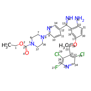 CCOC(=O)N1CCN(c2ccc(C(=N)c3cc(O[C@@H](C)c4c(Cl)cnc(F)c4Cl)ccc3N)cn2)CC1